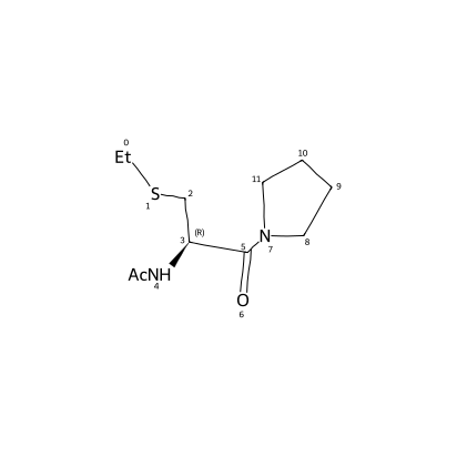 CCSC[C@H](NC(C)=O)C(=O)N1CCCC1